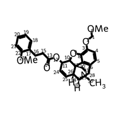 COCOc1ccc2c3c1OC1C(OC(=O)CCc4ccccc4OC)C=C[C@H]4[C@@H](C2)N(C)CC[C@]314